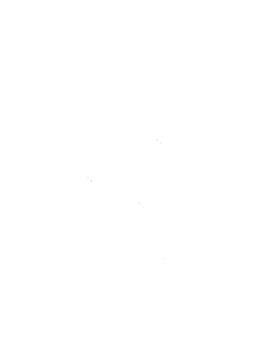 CN(C(=O)Cc1ccccc1[N+](=O)[O-])[C@H](CN1CCC(O)C1)c1ccccc1